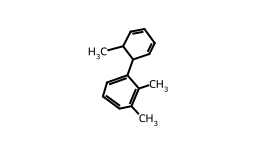 Cc1cccc(C2C=CC=CC2C)c1C